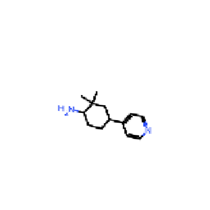 CC1(C)CC(c2ccncc2)CCC1N